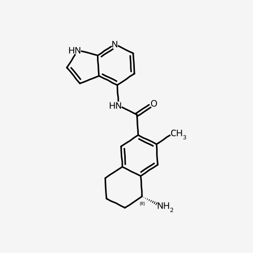 Cc1cc2c(cc1C(=O)Nc1ccnc3[nH]ccc13)CCC[C@H]2N